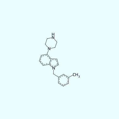 Cc1cccc(Cn2ccc3c(N4CCNCC4)cccc32)c1